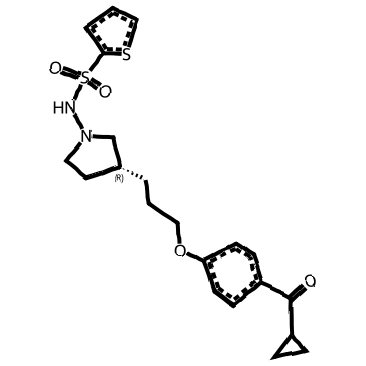 O=C(c1ccc(OCCC[C@@H]2CCN(NS(=O)(=O)c3cccs3)C2)cc1)C1CC1